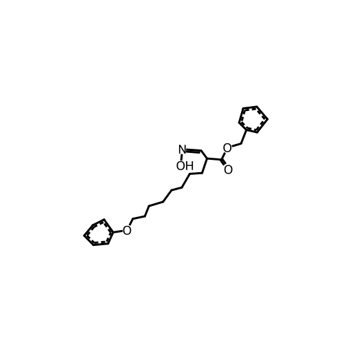 O=C(OCc1ccccc1)C(/C=N\O)CCCCCCCCOc1ccccc1